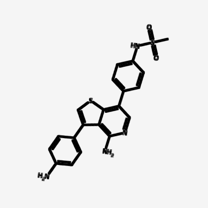 CS(=O)(=O)Nc1ccc(-c2cnc(N)c3c(-c4ccc(N)cc4)csc23)cc1